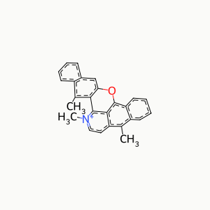 Cc1c2c(cc3ccccc13)Oc1c3ccccc3c(C)c3cc[n+](C)c-2c13